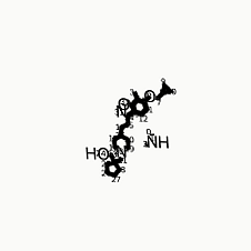 CNC.Cc1c(OCC2CC2)ccc2c(CCC3CCN(CC4(CO)CCCC4)CC3)noc12